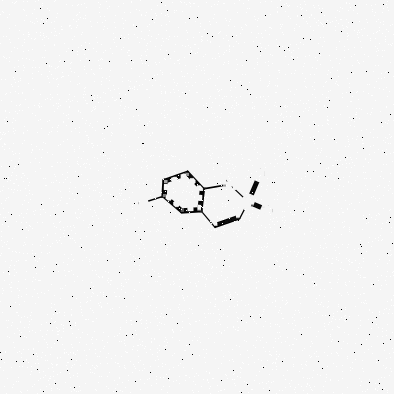 Cc1ccc2c(c1)C=CS(=O)(=O)N2